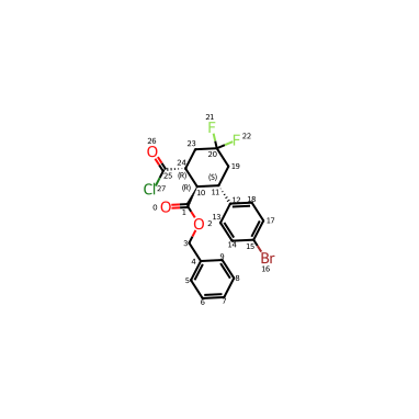 O=C(OCc1ccccc1)[C@@H]1[C@@H](c2ccc(Br)cc2)CC(F)(F)C[C@H]1C(=O)Cl